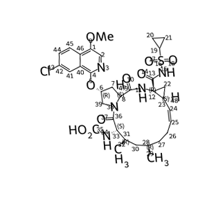 COc1cnc(O[C@@H]2C[C@H]3C(=O)N[C@]4(C(=O)NS(=O)(=O)C5CC5)C[C@H]4C=CCC[C@@H](C)C[C@@H](C)[C@H](NC(=O)O)C(=O)N3C2)c2cc(Cl)ccc12